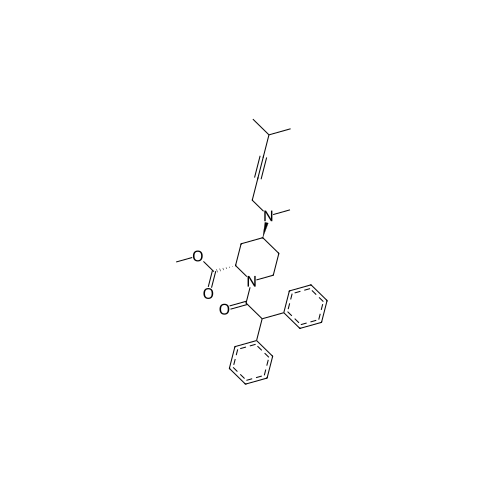 COC(=O)[C@@H]1C[C@@H](N(C)CC#CC(C)C)CCN1C(=O)C(c1ccccc1)c1ccccc1